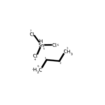 [CH2]CCC.[Cl][SnH]([Cl])[Cl]